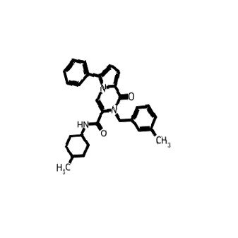 Cc1cccc(Cn2c(C(=O)NC3CCC(C)CC3)cn3c(-c4ccccc4)ccc3c2=O)c1